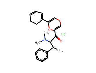 CC(c1ccccc1)C(C(=O)C1=COC=C(C2=CC=CCC2)O1)N(C)C.Cl